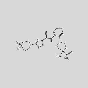 NC(=O)C1(N)CCN(c2ccccc2NC(=O)c2csc(N3CCS(=O)(=O)CC3)n2)CC1